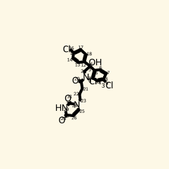 CN(CC(O)(c1ccc(Cl)cc1)c1ccc(Cl)cc1)C(=O)CCCn1ccc(=O)[nH]c1=O